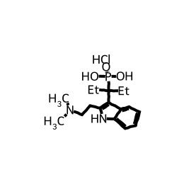 CCC(CC)(c1c(CCN(C)C)[nH]c2ccccc12)P(=O)(O)O.Cl